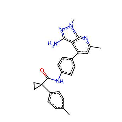 Cc1ccc(C2(C(=O)Nc3ccc(-c4cc(C)nc5c4c(N)nn5C)cc3)CC2)cc1